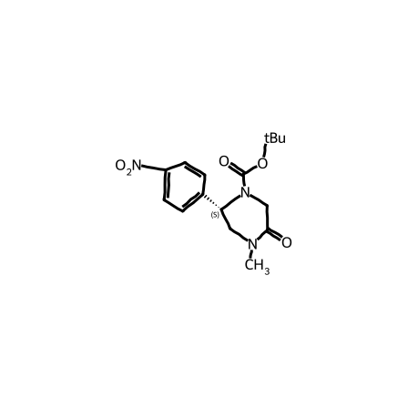 CN1C[C@H](c2ccc([N+](=O)[O-])cc2)N(C(=O)OC(C)(C)C)CC1=O